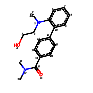 CCN(CCO)c1[c]cccc1-c1ccc(C(=O)N(C)C)cc1